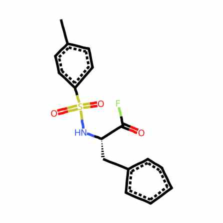 Cc1ccc(S(=O)(=O)N[C@@H](Cc2ccccc2)C(=O)F)cc1